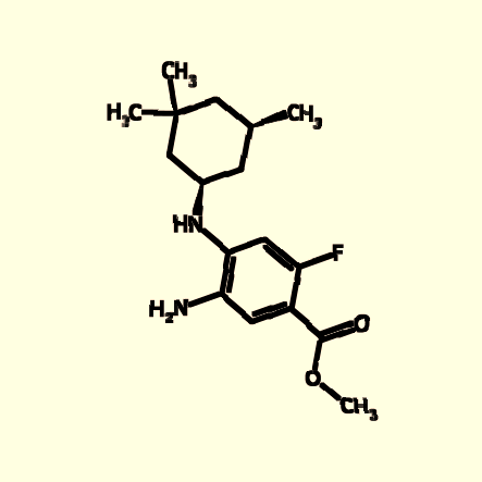 COC(=O)c1cc(N)c(N[C@@H]2C[C@H](C)CC(C)(C)C2)cc1F